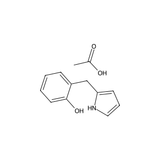 CC(=O)O.Oc1ccccc1Cc1ccc[nH]1